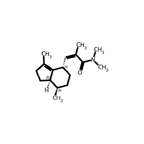 CC(=C[C@@H]1CC[C@@H](C)[C@H]2CCC(C)=C12)C(=O)N(C)C